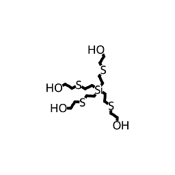 OCCSCC[Si](CCSCCO)(CCSCCO)CCSCCO